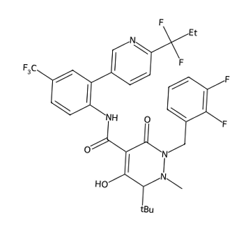 CCC(F)(F)c1ccc(-c2cc(C(F)(F)F)ccc2NC(=O)C2=C(O)C(C(C)(C)C)N(C)N(Cc3cccc(F)c3F)C2=O)cn1